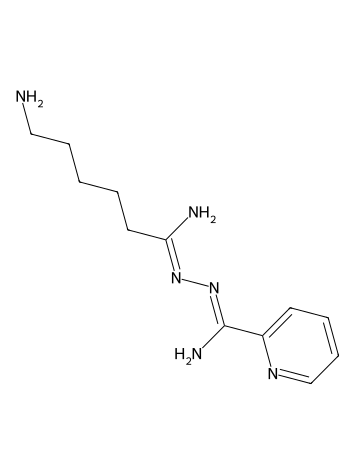 NCCCCC/C(N)=N/N=C(\N)c1ccccn1